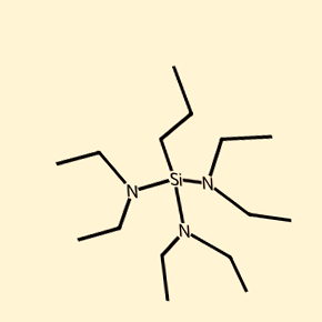 CCC[Si](N(CC)CC)(N(CC)CC)N(CC)CC